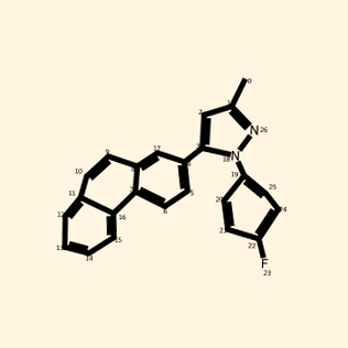 Cc1cc(-c2ccc3c(ccc4ccccc43)c2)n(-c2ccc(F)cc2)n1